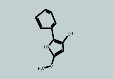 COc1cc(O)c(-c2ccccc2)[nH]1